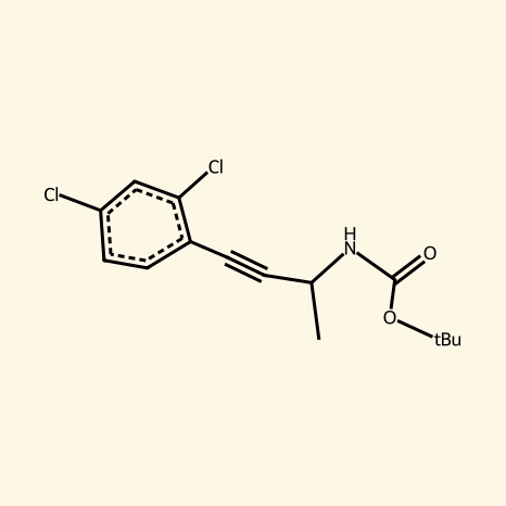 CC(C#Cc1ccc(Cl)cc1Cl)NC(=O)OC(C)(C)C